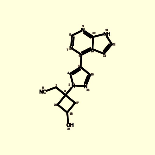 N#CCC1(n2cc(-c3ncnc4[nH]ccc34)cn2)CC(O)C1